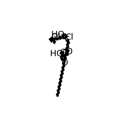 CCCCCCCCCCCCCCCCCCOc1ccc(C(=O)O)c(C(C)OC(=O)CCC/C=C\C[C@@H]2[C@@H](/C=C/C[C@H](O)C3(CC)CCC3)[C@H](O)C[C@H]2Cl)c1